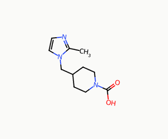 Cc1nccn1CC1CCN(C(=O)O)CC1